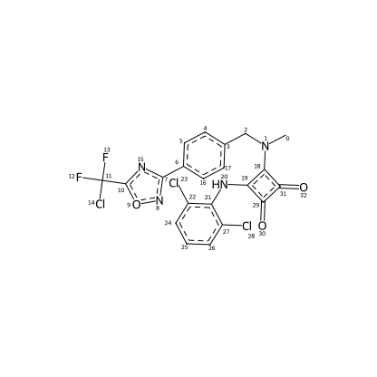 CN(Cc1ccc(-c2noc(C(F)(F)Cl)n2)cc1)c1c(Nc2c(Cl)cccc2Cl)c(=O)c1=O